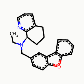 CCN(Cc1ccc2oc3ccccc3c2c1)[C@@H]1CCCc2cccnc21